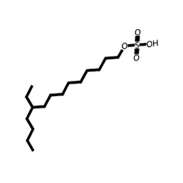 CCCCC(CC)CCCCCCCCCOS(=O)(=O)O